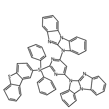 c1ccc([Si](c2ccccc2)(c2ccc3sc4ccccc4c3c2)c2nc(-n3c4ccccc4n4c5ccccc5nc34)cc(-n3c4ccccc4n4c5ccccc5nc34)n2)cc1